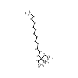 CCCCCCCCCCCCCC(N)(CC)CC